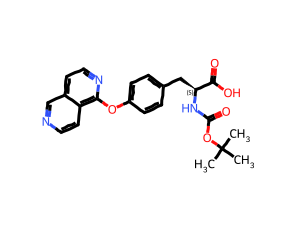 CC(C)(C)OC(=O)N[C@@H](Cc1ccc(Oc2nccc3cnccc23)cc1)C(=O)O